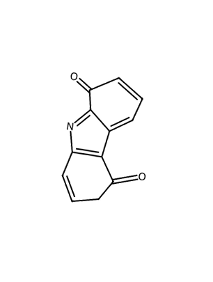 O=C1C=CC=C2C1=NC1=C2C(=O)CC=C1